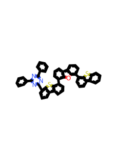 c1ccc(-c2nc(-c3ccccc3)nc(-c3cccc4c3sc3c(-c5cccc6c5oc5c(-c7cccc8c7sc7ccccc78)cccc56)cccc34)n2)cc1